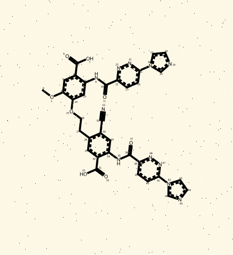 COc1cc(C(=O)O)c(NC(=O)c2ccc(-n3ccnc3)nn2)cc1OCCc1cc(C(=O)O)c(NC(=O)c2ccc(-n3ccnc3)nn2)cc1C#N